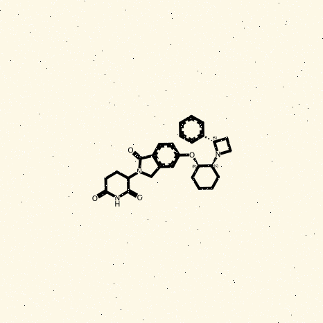 O=C1CCC(N2Cc3cc(O[C@@H]4CCCC[C@@H]4N4CC[C@H]4c4ccccc4)ccc3C2=O)C(=O)N1